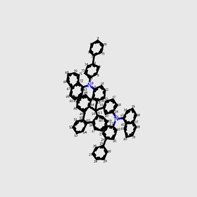 c1ccc(-c2ccc(N(c3cccc(C4(c5cccc(N(c6ccc(-c7ccccc7)cc6)c6cccc7ccccc67)c5)c5ccccc5-c5ccccc5-c5ccccc54)c3)c3cccc4ccccc34)cc2)cc1